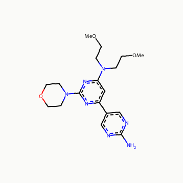 COCCN(CCOC)c1cc(-c2cnc(N)nc2)nc(N2CCOCC2)n1